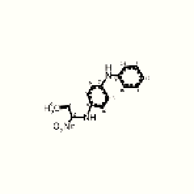 C=CC(Nc1ccc(Nc2ccccc2)cc1)[N+](=O)[O-]